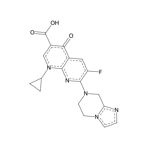 O=C(O)c1cn(C2CC2)c2nc(N3CCn4ccnc4C3)c(F)cc2c1=O